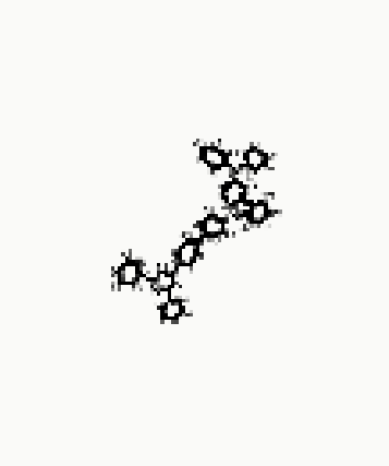 c1ccc(-c2cc(-c3ccc(-c4ccc(-n5c6ccccc6c6cc(N(c7ccccc7)c7ccccc7)ccc65)cc4)cc3)nc(-c3ccccc3)n2)cc1